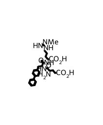 CNC(=N)NCCCC(NC(=O)C(Cc1ccc(-c2ccccc2)cc1)NC(=O)C(N)CCC(=O)O)C(=O)O